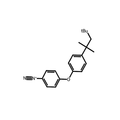 CC(C)(C)CC(C)(C)c1ccc(Oc2ccc([N+]#N)cc2)cc1